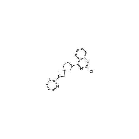 Clc1cc2ncccc2c(N2CCC3(CN(c4ncccn4)C3)C2)n1